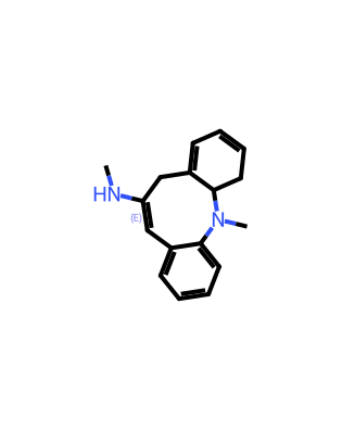 CN/C1=C/c2ccccc2N(C)C2CC=CC=C2C1